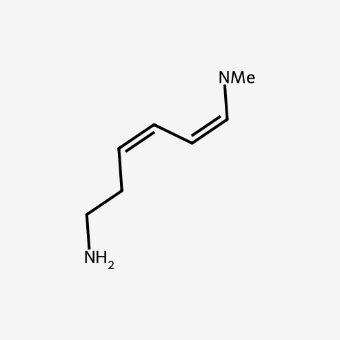 CN/C=C\C=C/CCN